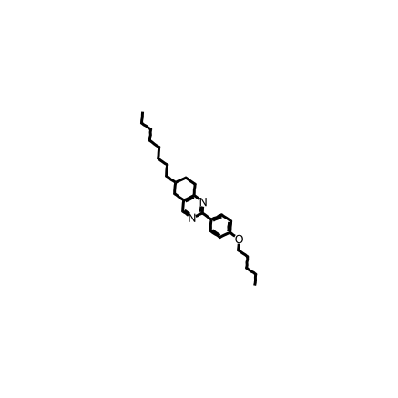 CCCCCCCCC1CCc2nc(-c3ccc(OCCCCC)cc3)ncc2C1